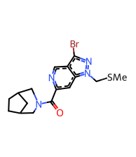 CSCn1nc(Br)c2cnc(C(=O)N3CC4CCC(C4)C3)cc21